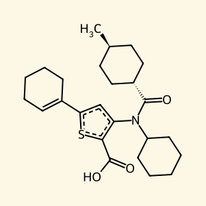 C[C@H]1CC[C@H](C(=O)N(c2cc(C3=CCCCC3)sc2C(=O)O)C2CCCCC2)CC1